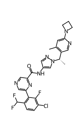 Cc1cc(N2CCC2)ncc1[C@H](C)n1cc(NC(=O)c2cncc(-c3c(C(F)F)ccc(Cl)c3F)n2)cn1